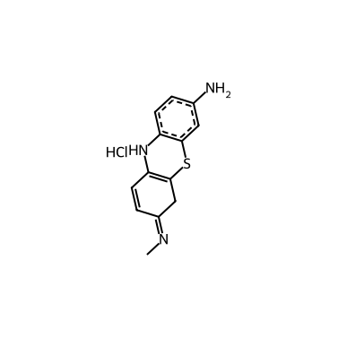 CN=C1C=CC2=C(C1)Sc1cc(N)ccc1N2.Cl